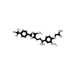 Cc1cc(C(O)CCc2sc(-c3ccc(C(F)(F)F)cc3)nc2C)ccc1OCC(=O)O